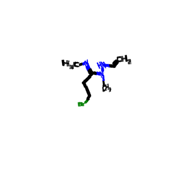 C=CNN(C)/C(CCBr)=N/C